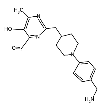 Cc1nc(CC2CCN(c3ccc(CN)cc3)CC2)nc([C]=O)c1O